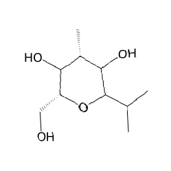 CC(C)C1O[C@H](CO)C(O)[C@H](C)C1O